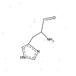 NC(C=O)Cc1c[nH]cn1